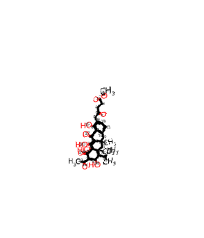 COC(=O)CCC(=O)Cc1ccc2c(c1O)C(=O)C1=C(O)[C@@]3(O)C(=O)C(C(C)=O)=C(O)C(C(C)C)[C@@]3(C)C[C@@]1(C)C2